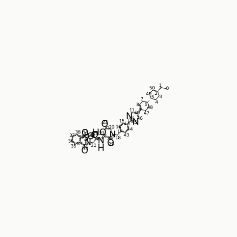 CC[C@H]1CC[C@H](C2CC=C(c3cnc(-c4ccc(CN(CC(=O)O)C(=O)CNC(=O)CN5C(=O)c6ccccc6S5(=O)=O)cc4)nc3)CC2)CC1